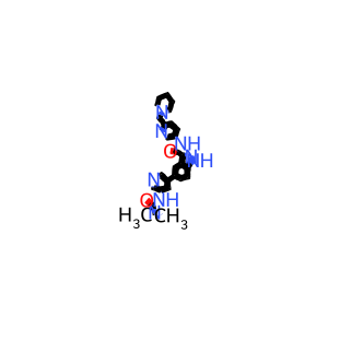 CN(C)C(=O)Nc1cncc(-c2ccc3[nH]nc(C(=O)Nc4ccc(CN5CCCCC5)nc4)c3c2)c1